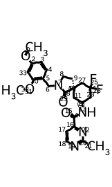 COc1ccc(CN2CC[C@]3(C[C@H](NC(=O)c4ccnc(C)n4)CC(F)(F)C3)C2=O)c(OC)c1